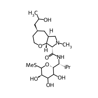 CSC1O[C@H]([C@H](NC(=O)[C@@H]2[C@@H]3OCC[C@@H](CC(C)O)C[C@H]3CN2C)C(C)C)C(O)C(O)[C@H]1O